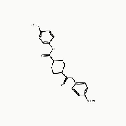 CCCCCc1ccc(OC(=O)C2CCC(C(=O)Oc3ccc(CCCCC)cc3)CC2)cc1